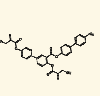 C=C(CO)C(=O)Oc1ccc(-c2ccc(OC(=O)C(=C)CO)c(C(=O)Oc3ccc(-c4ccc(CCCC)cc4)cc3)c2)cc1